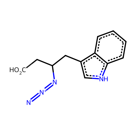 [N-]=[N+]=NC(CC(=O)O)Cc1c[nH]c2ccccc12